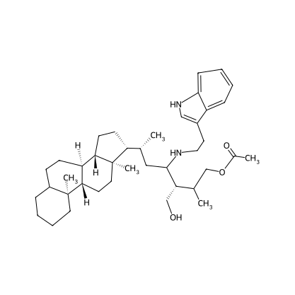 CC(=O)OCC(C)[C@H](CO)C(C[C@@H](C)[C@H]1CC[C@H]2[C@@H]3CCC4CCCC[C@]4(C)[C@H]3CC[C@]12C)NCCc1c[nH]c2ccccc12